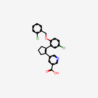 O=C(O)c1cncc(C2=C(c3cc(Cl)ccc3OCc3ccccc3Cl)CCC2)c1